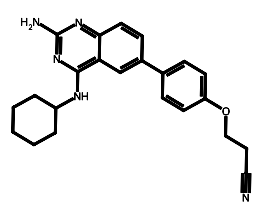 N#CCCOc1ccc(-c2ccc3nc(N)nc(NC4CCCCC4)c3c2)cc1